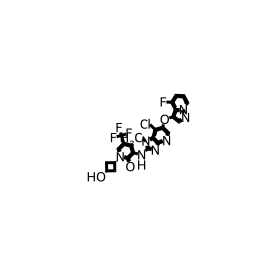 Cn1c(Nc2cc(C(F)(F)F)cn([C@H]3C[C@H](O)C3)c2=O)nc2ncc(Oc3cnn4cccc(F)c34)c(Cl)c21